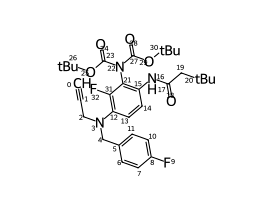 C#CCN(Cc1ccc(F)cc1)c1ccc(NC(=O)CC(C)(C)C)c(N(C(=O)OC(C)(C)C)C(=O)OC(C)(C)C)c1F